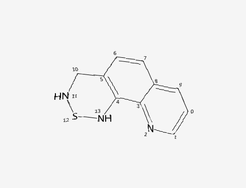 c1cnc2c3c(ccc2c1)CNSN3